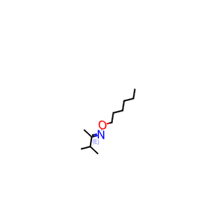 CCCCCCO/N=C(\C)C(C)C